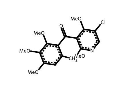 COc1cc(C)c(C(=O)c2c(OC)ncc(Cl)c2OC)c(OC)c1OC